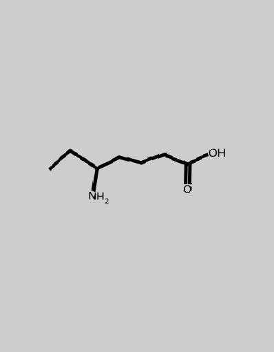 CCC(N)CCCC(=O)O